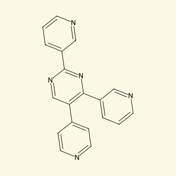 c1cncc(-c2ncc(-c3ccncc3)c(-c3cccnc3)n2)c1